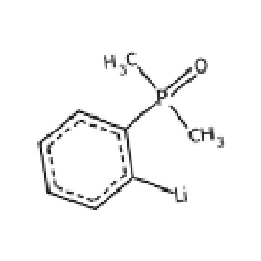 [Li][c]1ccccc1P(C)(C)=O